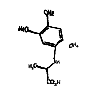 C.COc1ccc(NC(C)C(=O)O)cc1OC